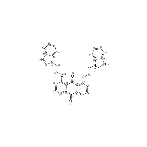 O=C1c2cccc(OCCn3cnc4ccccc43)c2C(=O)c2c(OCCn3cnc4ccccc43)cccc21